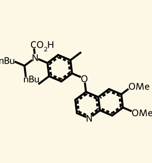 CCCCC(CCCC)N(C(=O)O)c1cc(C)c(Oc2ccnc3cc(OC)c(OC)cc23)cc1C